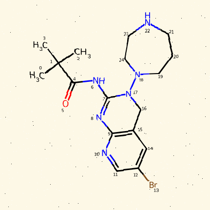 CC(C)(C)C(=O)NC1=Nc2ncc(Br)cc2CN1N1CCCNCC1